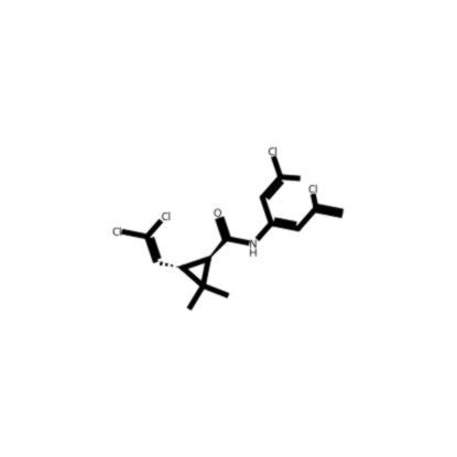 C=C(Cl)/C=C(\C=C(/C)Cl)NC(=O)[C@@H]1[C@@H](C=C(Cl)Cl)C1(C)C